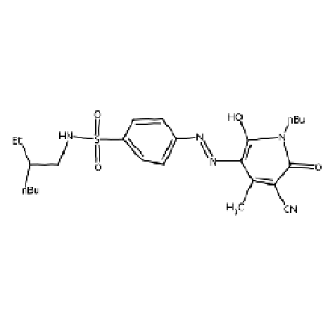 CCCCC(CC)CNS(=O)(=O)c1ccc(/N=N/c2c(C)c(C#N)c(=O)n(CCCC)c2O)cc1